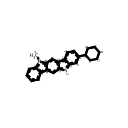 Cn1c2ccccc2c2cc3sc4cc(C5CCCCC5)ccc4c3cc21